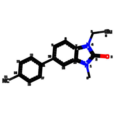 Cn1c(=O)n(CC(C)(C)C)c2ccc(-c3ccc(C#N)cc3)cc21